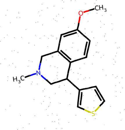 COc1ccc2c(c1)CN(C)CC2c1ccsc1